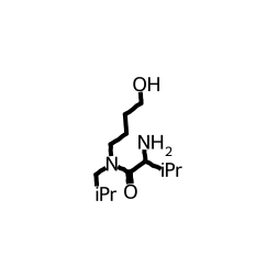 CC(C)CN(CCCCO)C(=O)C(N)C(C)C